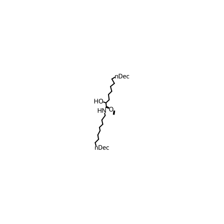 C=C.CCCCCCCCCCCCCCCCCCNC(=O)C(O)CCCCCCCCCCCCCCCC